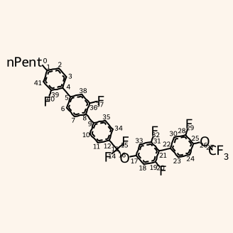 CCCCCc1ccc(-c2ccc(-c3ccc(C(F)(F)Oc4cc(F)c(-c5ccc(OC(F)(F)F)c(F)c5)c(F)c4)cc3)c(F)c2)c(F)c1